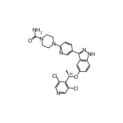 C[C@@H](Oc1ccc2[nH]nc(-c3ccc(N4CCN(C(N)=O)CC4)nc3)c2c1)c1c(Cl)cncc1Cl